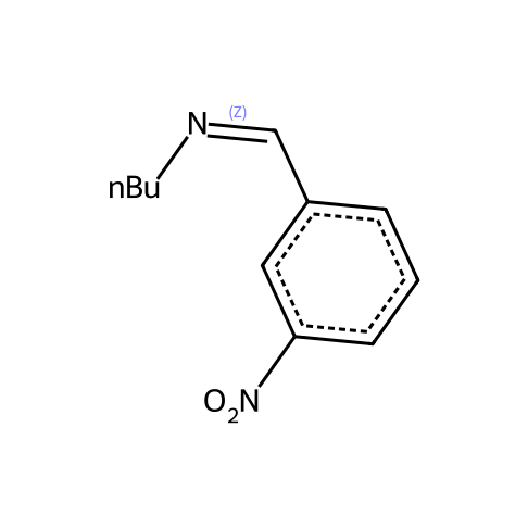 CCCC/N=C\c1cccc([N+](=O)[O-])c1